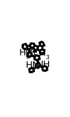 CC1(C)c2c(c3ccccc3c3ccccc23)-c2ccc3c4ccccc4n(-c4cccc(-c5cccc(C6NC(c7ccccc7)=CC(c7ccccc7)N6)c5)c4)c3c21